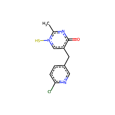 Cc1nc(=O)c(Cc2ccc(Cl)nc2)cn1S